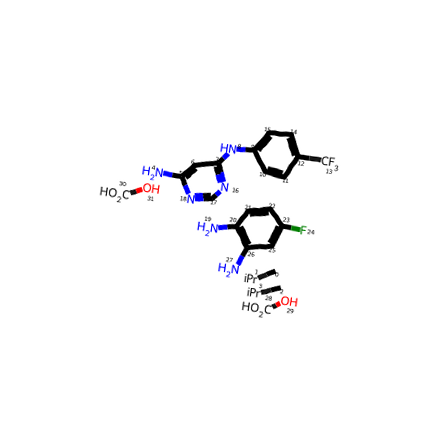 CC(C)C.CC(C)C.Nc1cc(Nc2ccc(C(F)(F)F)cc2)ncn1.Nc1ccc(F)cc1N.O=C(O)O.O=C(O)O